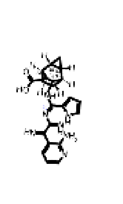 N=C(/N=C(/N[C@H]1[C@@H]2CC[C@@H]([C@@H]3C[C@@H]32)[C@@H]1C(=O)O)c1ccc[nH]1)C(=N)c1cccnc1N